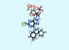 CC1(C)OC2[C@@H](CO)O[C@@H](n3cnc4c(N5CC6(CCCC6)c6cc(F)ccc65)nc(Cl)nc43)[C@H]2O1